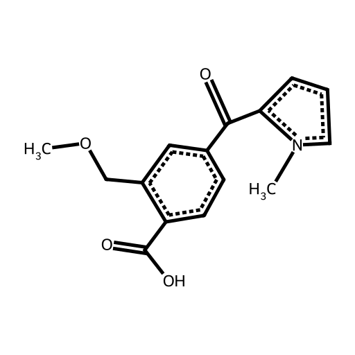 COCc1cc(C(=O)c2cccn2C)ccc1C(=O)O